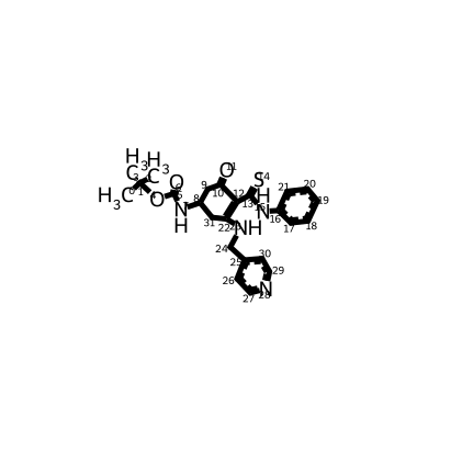 CC(C)(C)OC(=O)NC1CC(=O)C(C(=S)Nc2ccccc2)=C(NCc2ccncc2)C1